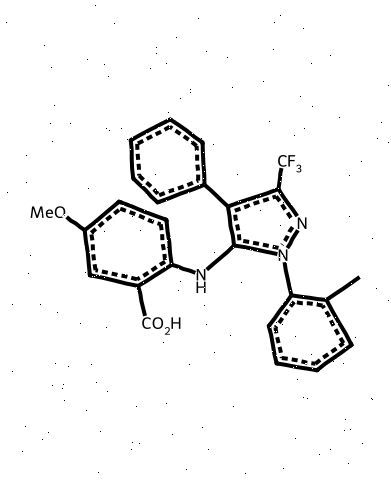 COc1ccc(Nc2c(-c3ccccc3)c(C(F)(F)F)nn2-c2ccccc2C)c(C(=O)O)c1